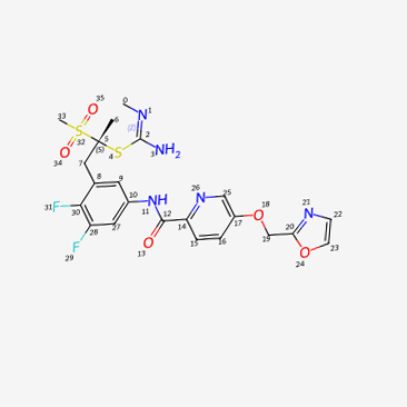 C/N=C(/N)S[C@](C)(Cc1cc(NC(=O)c2ccc(OCc3ncco3)cn2)cc(F)c1F)S(C)(=O)=O